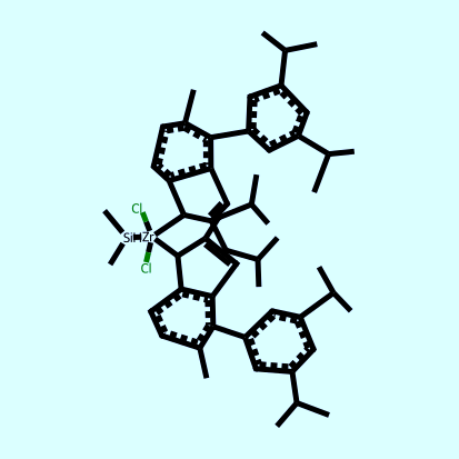 Cc1ccc2c(c1-c1cc(C(C)C)cc(C(C)C)c1)C=C(CC(C)C)[CH]2[Zr]([Cl])([Cl])([CH]1C(CC(C)C)=Cc2c1ccc(C)c2-c1cc(C(C)C)cc(C(C)C)c1)[SiH](C)C